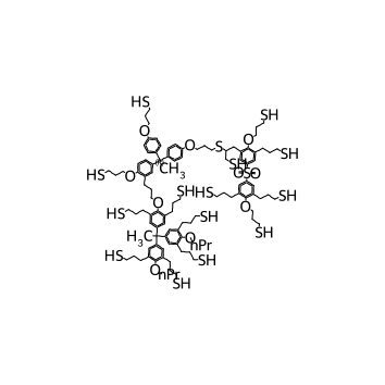 CCCOc1c(CCCS)cc(C(C)(c2cc(CCCS)c(OCCC)c(CCCS)c2)c2cc(CCCS)c(OCCCc3cc([C@](C)(c4ccc(OCCCS)cc4)c4ccc(OCCCSC(CS)Cc5cc(S(=O)(=O)c6cc(CCCS)c(OCCCS)c(CCCS)c6)cc(CCCS)c5OCCCS)cc4)ccc3OCCCS)c(CCCS)c2)cc1CCCS